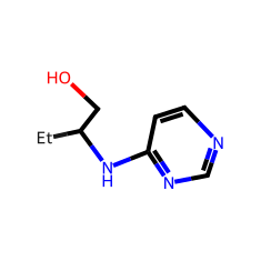 CCC(CO)Nc1ccncn1